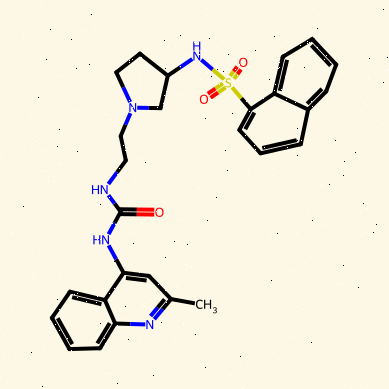 Cc1cc(NC(=O)NCCN2CCC(NS(=O)(=O)c3cccc4ccccc34)C2)c2ccccc2n1